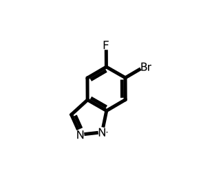 Fc1cc2c(cc1Br)[N]N=C2